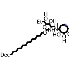 CCCCCCCCCCCCCCCCCCCCCCCCOC(=O)NC(CNC1C/C=C\CC(O)C(O)C1O)C(O)CC(O)CC